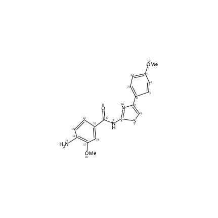 COc1ccc(-c2csc(NC(=O)c3ccc(N)c(OC)c3)n2)cc1